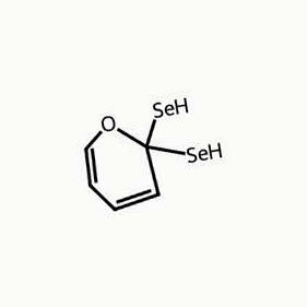 [SeH]C1([SeH])C=CC=CO1